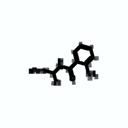 CCCCCC(CC)NC(=O)c1ccccc1N